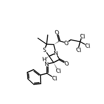 CC1(C)S[C@H]2N(C(=O)[C@@]2(Cl)N=C(Cl)c2ccccc2)[C@H]1C(=O)OCC(Cl)(Cl)Cl